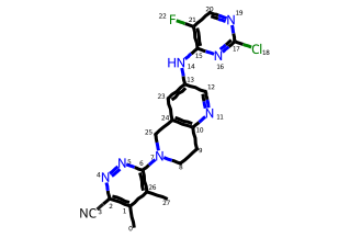 Cc1c(C#N)nnc(N2CCc3ncc(Nc4nc(Cl)ncc4F)cc3C2)c1C